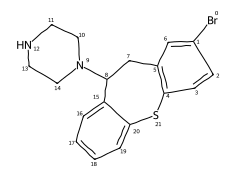 Brc1ccc2c(c1)CC(N1CCNCC1)c1ccccc1S2